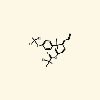 C=C/C=C(\C=C/C(=C)OC(=O)C(C)(C)CC)C(C)(C)c1ccc(OC(C)(CC)CC)cc1